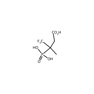 CC(CC(=O)O)(C(F)(F)F)P(=O)(O)O